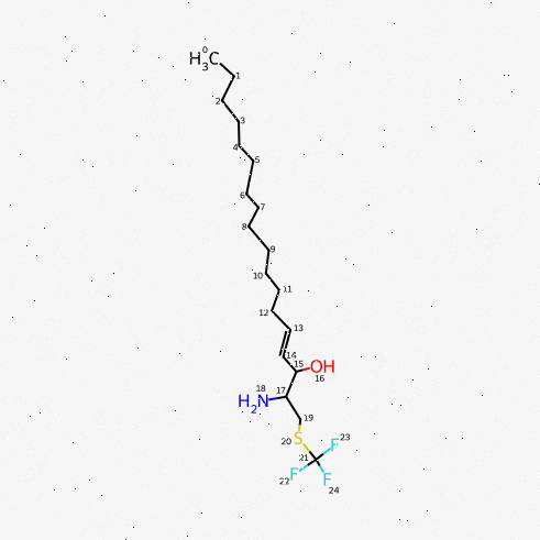 CCCCCCCCCCCCC/C=C/C(O)C(N)CSC(F)(F)F